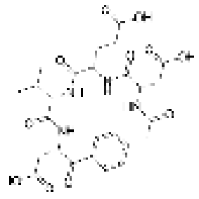 CC(=O)N[C@@H](CC(=O)O)C(=O)N[C@@H](CCC(=O)O)C(=O)N[C@H](C(=O)N[C@@H](CC(=O)O)C(=O)c1ccccc1)C(C)C